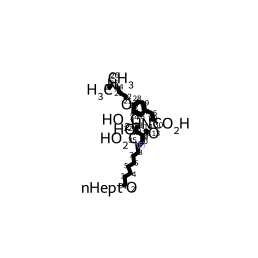 CCCCCCCC(=O)CCCCCC/C=C/[C@H](C(=O)N[C@@H](Cc1ccc(OCCCN(C)C)cc1)C(=O)O)[C@@](O)(CC(=O)O)C(=O)O